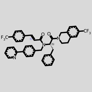 O=C([C@H](Cc1ccccc1)N(Cc1ccc(-c2ccccn2)cc1)C(=O)/C=C/c1ccc(C(F)(F)F)cc1)N1CCc2cc(C(F)(F)F)ccc2C1